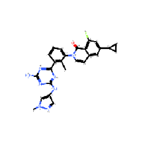 [CH2]c1c(-c2nc(N)nc(Nc3cnn(C)c3)n2)cccc1-n1ccc2cc(C3CC3)cc(F)c2c1=O